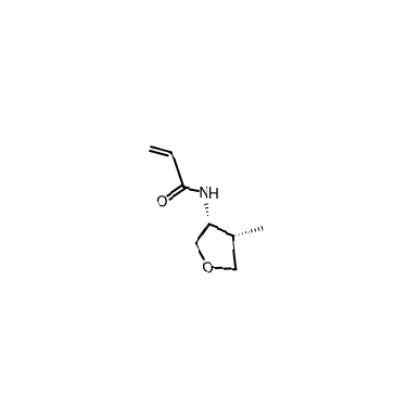 C=CC(=O)N[C@H]1COC[C@H]1C